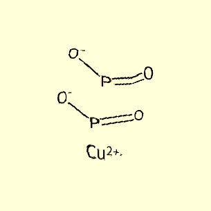 O=P[O-].O=P[O-].[Cu+2]